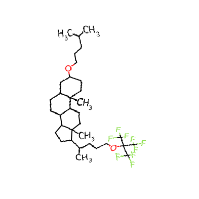 CC(C)CCCOC1CCC2(C)C(CCC3C2CCC2(C)C(C(C)CCCOC(C(F)(F)F)(C(F)(F)F)C(F)(F)F)CCC32)C1